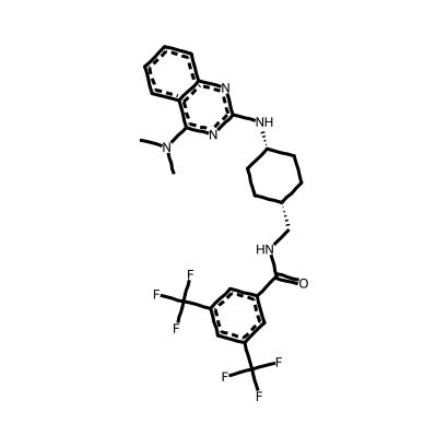 CN(C)c1nc(N[C@H]2CC[C@@H](CNC(=O)c3cc(C(F)(F)F)cc(C(F)(F)F)c3)CC2)nc2ccccc12